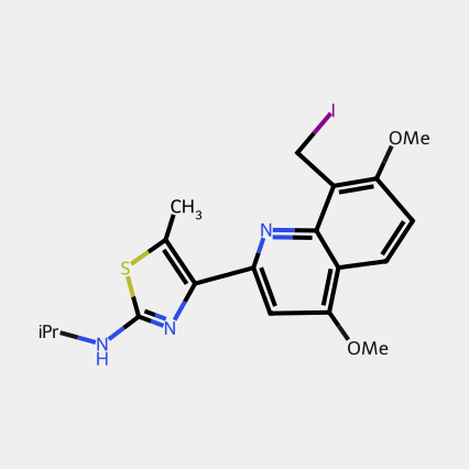 COc1ccc2c(OC)cc(-c3nc(NC(C)C)sc3C)nc2c1CI